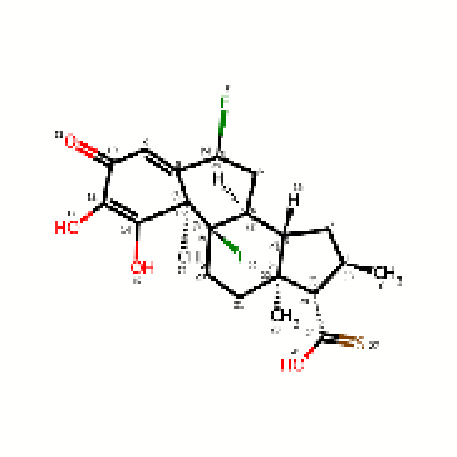 C[C@@H]1C[C@H]2[C@@H]3C[C@H](F)C4=CC(=O)C(O)=C(O)[C@]4(C)[C@@]3(F)CC[C@]2(C)[C@H]1C(O)=S